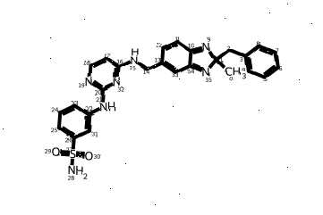 CC1(Cc2ccccc2)N=c2ccc(CNc3ccnc(Nc4cccc(S(N)(=O)=O)c4)n3)cc2=N1